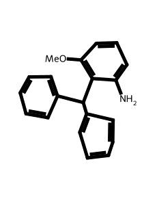 COc1cccc(N)c1C(c1ccccc1)c1ccccc1